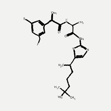 CC(NC(=O)C(O)c1cc(F)cc(F)c1)C(=O)Nc1ncc(C(C)CCCC(C)(C)O)s1